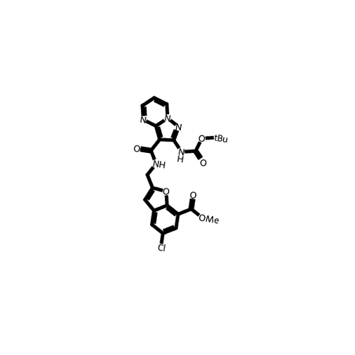 COC(=O)c1cc(Cl)cc2cc(CNC(=O)c3c(NC(=O)OC(C)(C)C)nn4cccnc34)oc12